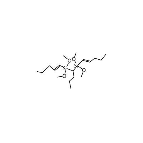 CCCC=C[Si](OC)(OC)C(CCC)[Si](C=CCCC)(OC)OC